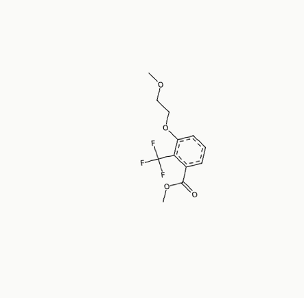 COCCOc1cccc(C(=O)OC)c1C(F)(F)F